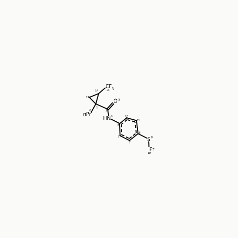 CCCC1(C(=O)Nc2ccc(SC(C)C)cc2)CC1C(F)(F)F